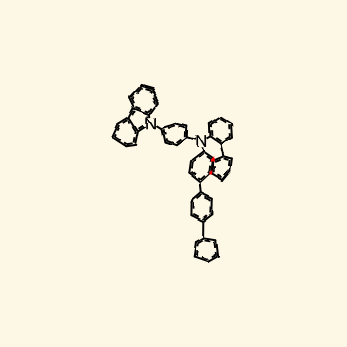 c1ccc(-c2ccc(-c3ccc(N(c4ccc(-n5c6ccccc6c6ccccc65)cc4)c4ccccc4-c4ccccc4)cc3)cc2)cc1